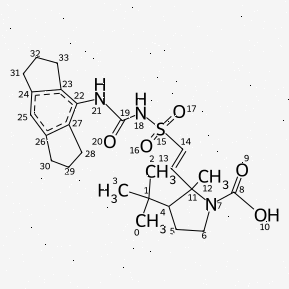 CC(C)(C)C1CCN(C(=O)O)C1(C)C=CS(=O)(=O)NC(=O)Nc1c2c(cc3c1CCC3)CCC2